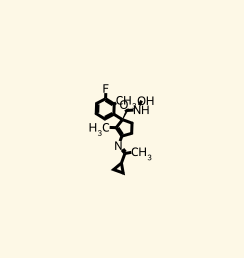 CC1=C(/N=C(\C)C2CC2)CC[C@@]1(C(=O)NO)c1cccc(F)c1C